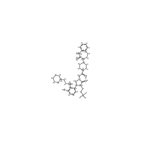 CC(C)(C)CCN1C(=O)[C@H](CC(=O)N2CCC(N3CCc4ccccc4NC3=O)CC2)SC1c1cccc(F)c1NCCN1CCCCC1